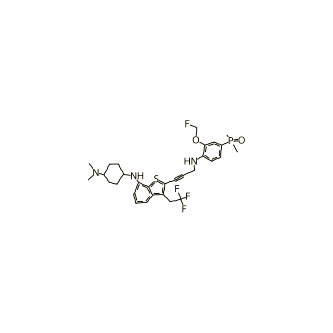 CN(C)C1CCC(Nc2cccc3c(CC(F)(F)F)c(C#CCNc4ccc(P(C)(C)=O)cc4OCF)sc23)CC1